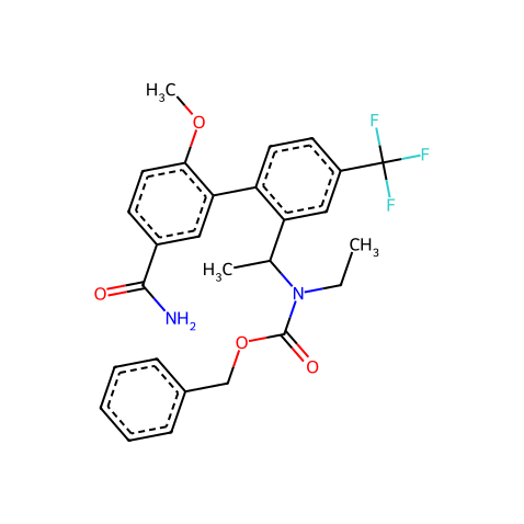 CCN(C(=O)OCc1ccccc1)C(C)c1cc(C(F)(F)F)ccc1-c1cc(C(N)=O)ccc1OC